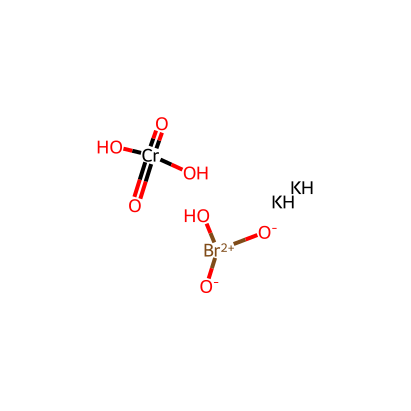 [KH].[KH].[O-][Br+2]([O-])O.[O]=[Cr](=[O])([OH])[OH]